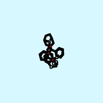 O=C(O)c1ccccc1C(=C1CC2CCC(C1)N2CCc1ccc2c(c1)OCO2)c1ccccc1